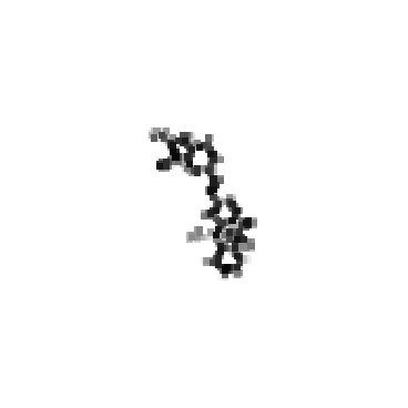 [CH2]CC(c1cccc(C=Cc2ccc3sc(Cl)c(Cl)c3n2)c1)c1ccccc1C(C)(C)O